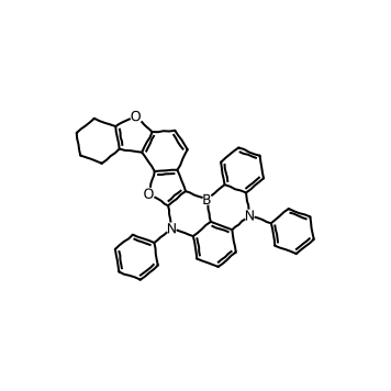 c1ccc(N2c3ccccc3B3c4c2cccc4N(c2ccccc2)c2oc4c(ccc5oc6c(c54)CCCC6)c23)cc1